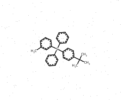 Cc1cccc([Si](c2ccccc2)(c2ccccc2)c2ccc(C(C)(C)C)cc2)c1